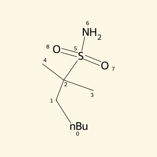 CCCCCC(C)(C)S(N)(=O)=O